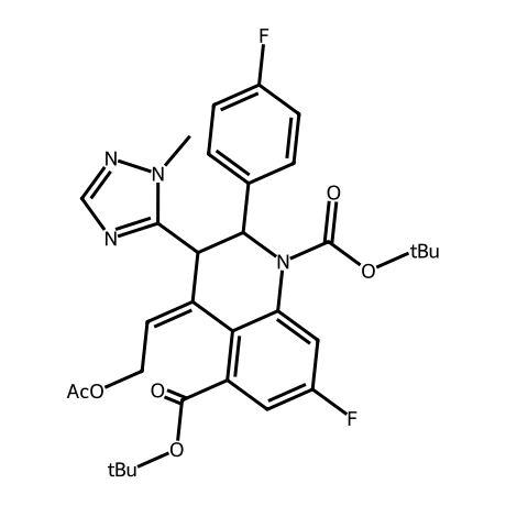 CC(=O)OC/C=C1\c2c(C(=O)OC(C)(C)C)cc(F)cc2N(C(=O)OC(C)(C)C)C(c2ccc(F)cc2)C1c1ncnn1C